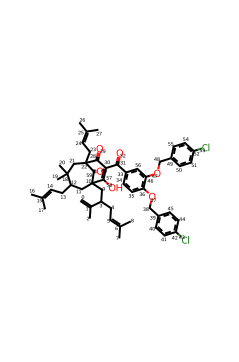 C=C(C)C(CC=C(C)C)CC12CC(CC=C(C)C)C(C)(C)CC(CC=C(C)C)(C(=O)C(C(=O)c3ccc(OCc4ccc(Cl)cc4)c(OCc4ccc(Cl)cc4)c3)=C1O)C2=O